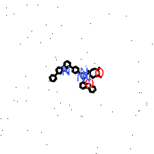 C=C1/C=C\C(C)(c2nc(-c3ccc(-c4cccc5c6ccc(-c7ccccc7)cc6n(C)c45)cc3)nc(-c3cccc4c3oc3ccccc34)n2)/C=C\C=C(/C)O1